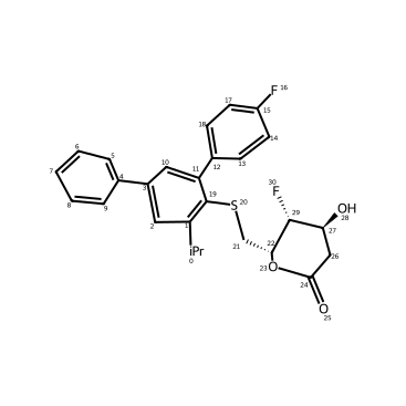 CC(C)c1cc(-c2ccccc2)cc(-c2ccc(F)cc2)c1SC[C@H]1OC(=O)C[C@H](O)[C@H]1F